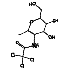 CC1OC(CO)C(O)C(O)C1NC(=O)C(Cl)(Cl)Cl